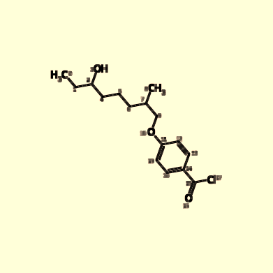 CCC(O)CCCC(C)COc1ccc(C(=O)Cl)cc1